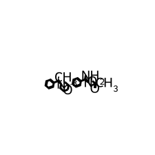 CC(=O)O/N=C(\N)c1ccc([C@H]2CN([C@H](C)c3ccccc3)CCO2)cc1